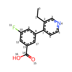 CCc1cnccc1-c1cc(F)cc(C(=O)O)c1